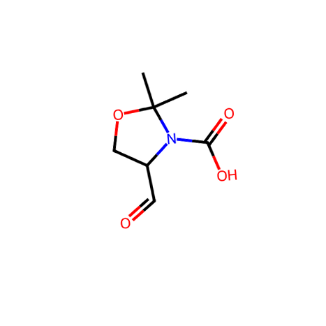 CC1(C)OCC(C=O)N1C(=O)O